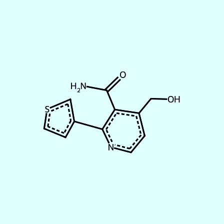 NC(=O)c1c(CO)ccnc1-c1ccsc1